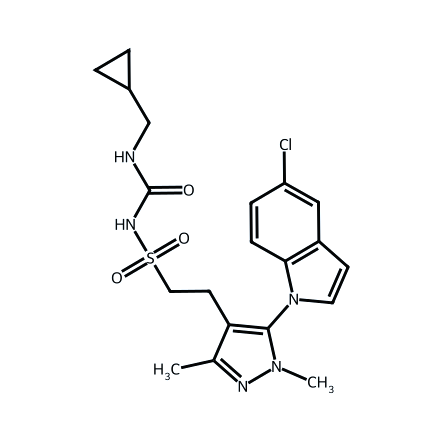 Cc1nn(C)c(-n2ccc3cc(Cl)ccc32)c1CCS(=O)(=O)NC(=O)NCC1CC1